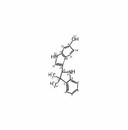 CC1(C)c2ccccc2NC1c1c[nH]c2cc(O)ccc12